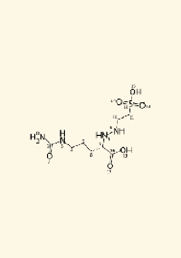 NC(=O)NCCC[C@H](NNCCS(=O)(=O)O)C(=O)O